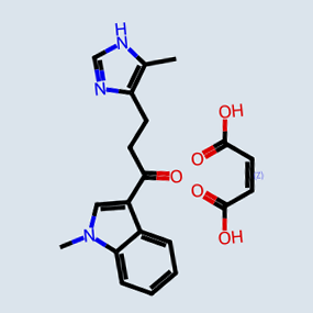 Cc1[nH]cnc1CCC(=O)c1cn(C)c2ccccc12.O=C(O)/C=C\C(=O)O